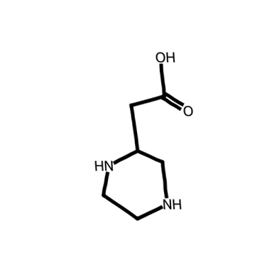 O=C(O)CC1CNCCN1